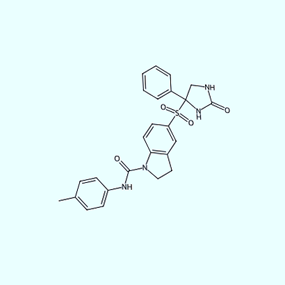 Cc1ccc(NC(=O)N2CCc3cc(S(=O)(=O)C4(c5ccccc5)CNC(=O)N4)ccc32)cc1